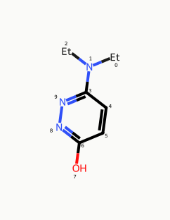 CCN(CC)c1ccc(O)nn1